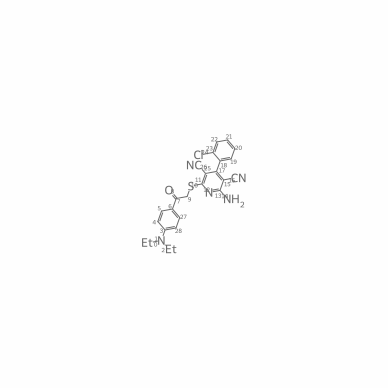 CCN(CC)c1ccc(C(=O)CSc2nc(N)c(C#N)c(-c3ccccc3Cl)c2C#N)cc1